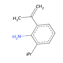 C=C(C)c1cccc(C(C)C)c1N